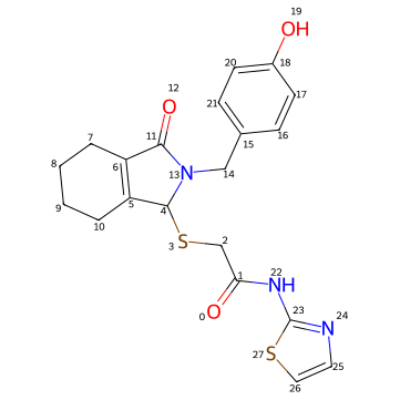 O=C(CSC1C2=C(CCCC2)C(=O)N1Cc1ccc(O)cc1)Nc1nccs1